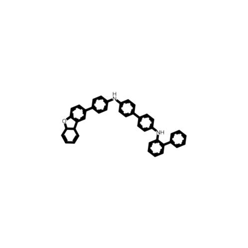 C1=CC2Oc3ccc(-c4ccc(Nc5ccc(-c6ccc(Nc7ccccc7-c7ccccc7)cc6)cc5)cc4)cc3C2C=C1